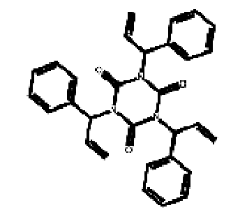 C=CC(c1ccccc1)n1c(=O)n(C(C=C)c2ccccc2)c(=O)n(C(C=C)c2ccccc2)c1=O